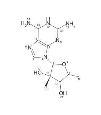 CC1O[C@@H](n2cnc3c2N=C(N)NC3N)[C@@](C)(O)C1O